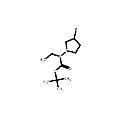 CCN(C(=O)OC(C)(C)C)N1CCC(F)C1